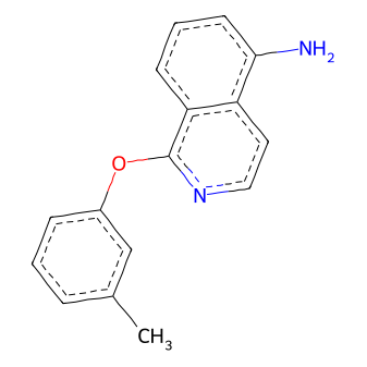 Cc1cccc(Oc2nccc3c(N)cccc23)c1